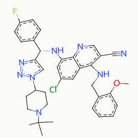 COc1ccccc1CNc1c(C#N)cnc2c(N[C@@H](c3ccc(F)cc3)c3cn(C4CCN(C(C)(C)C)CC4)nn3)cc(Cl)cc12